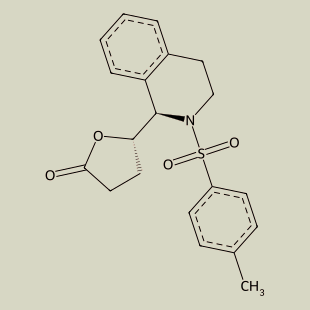 Cc1ccc(S(=O)(=O)N2CCc3ccccc3[C@@H]2[C@@H]2CCC(=O)O2)cc1